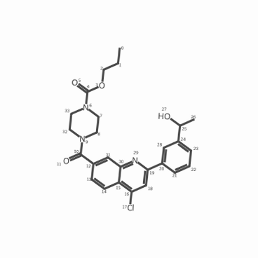 CCCOC(=O)N1CCN(C(=O)c2ccc3c(Cl)cc(-c4cccc(C(C)O)c4)nc3c2)CC1